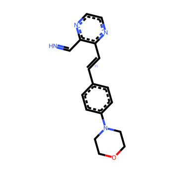 N=Cc1nccnc1/C=C/c1ccc(N2CCOCC2)cc1